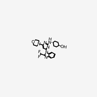 O[C@H]1CC[C@H](Nc2nc(N3CCOCC3)cc(-n3c(C(F)F)nc4ccccc43)n2)CC1